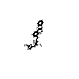 CCOc1nc2ccccc2nc1-c1cccc(CCCC(C)(C)Cc2csc(CC)n2)c1